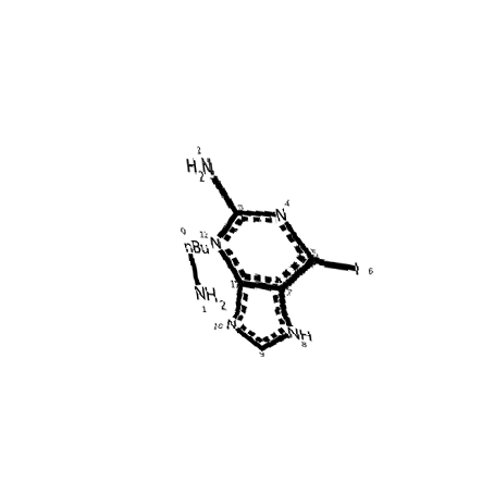 CCCCN.Nc1nc(I)c2[nH]cnc2n1